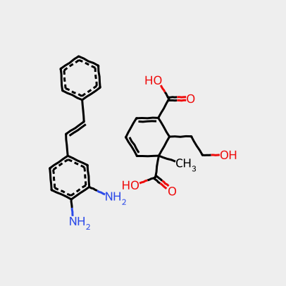 CC1(C(=O)O)C=CC=C(C(=O)O)C1CCO.Nc1ccc(C=Cc2ccccc2)cc1N